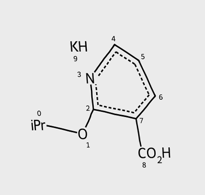 CC(C)Oc1ncccc1C(=O)O.[KH]